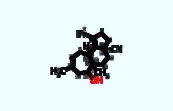 CC1=CC[C@H]2C3=C(C(C)C)CC[C@@]3(C#N)CC[C@]2(C)C(O)C1